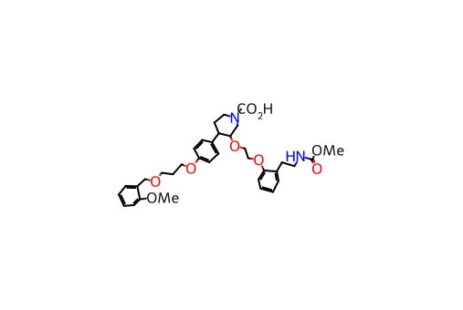 COC(=O)NCCc1ccccc1OCCOC1CN(C(=O)O)CCC1c1ccc(OCCCOCc2ccccc2OC)cc1